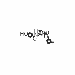 O=C(NCC1CN(C(=O)OCc2cccc(F)c2)CCO1)c1ccc(O)cc1